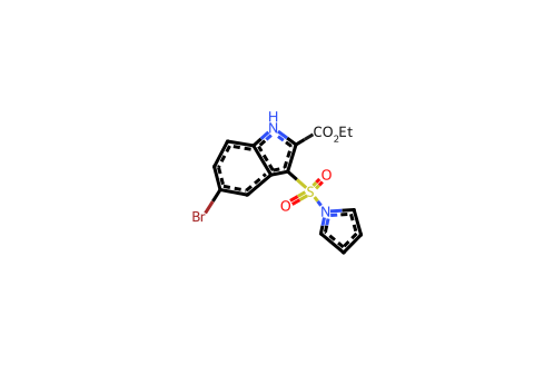 CCOC(=O)c1[nH]c2ccc(Br)cc2c1S(=O)(=O)n1cccc1